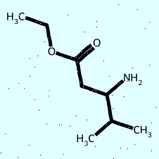 CCOC(=O)CC(N)C(C)C